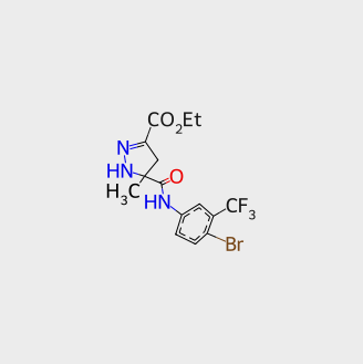 CCOC(=O)C1=NNC(C)(C(=O)Nc2ccc(Br)c(C(F)(F)F)c2)C1